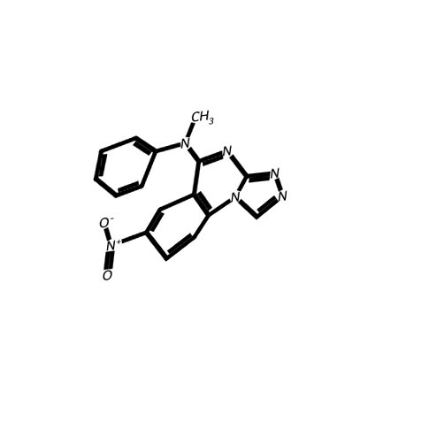 CN(c1ccccc1)c1nc2nncn2c2ccc([N+](=O)[O-])cc12